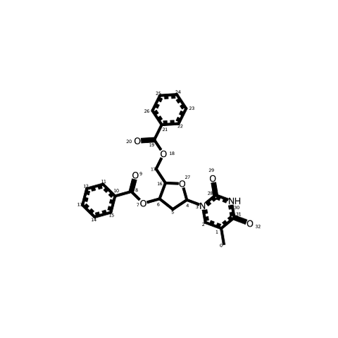 Cc1cn(C2CC(OC(=O)c3ccccc3)C(COC(=O)c3ccccc3)O2)c(=O)[nH]c1=O